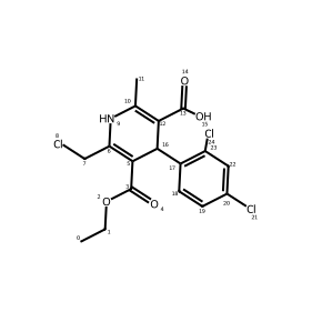 CCOC(=O)C1=C(CCl)NC(C)=C(C(=O)O)C1c1ccc(Cl)cc1Cl